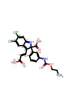 CCCOC(=O)Nc1cccc(C2(C(=O)O)N=c3cc(Cl)c(Cl)cc3=C2C=CC(=O)O)c1